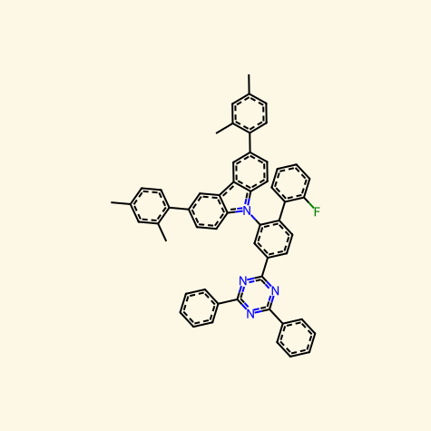 Cc1ccc(-c2ccc3c(c2)c2cc(-c4ccc(C)cc4C)ccc2n3-c2cc(-c3nc(-c4ccccc4)nc(-c4ccccc4)n3)ccc2-c2ccccc2F)c(C)c1